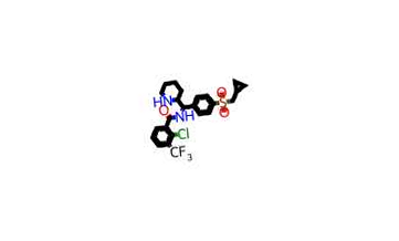 O=C(NC(c1ccc(S(=O)(=O)CC2CC2)cc1)C1CCCCN1)c1cccc(C(F)(F)F)c1Cl